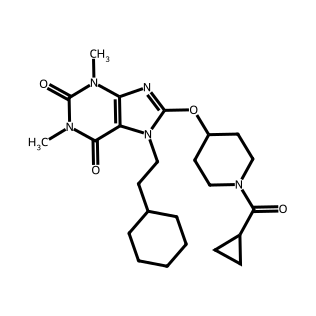 Cn1c(=O)c2c(nc(OC3CCN(C(=O)C4CC4)CC3)n2CCC2CCCCC2)n(C)c1=O